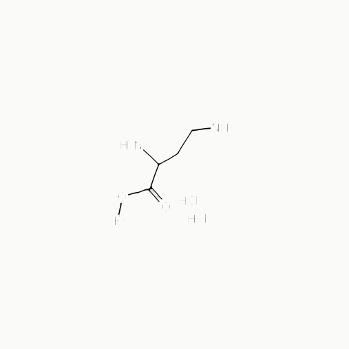 CCOC(=O)C(N)CCN.Cl.Cl